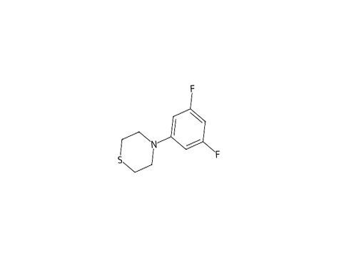 Fc1cc(F)cc(N2CCSCC2)c1